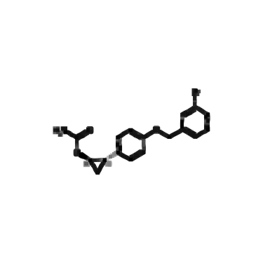 NC(=O)O[C@@H]1C[C@H]1c1ccc(OCc2cccc(Br)c2)cc1